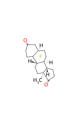 C[C@]12CC[C@H]3[C@@H](CC[C@@H]4CC(=O)CC[C@@]43F)[C@@H]1CCC2=O